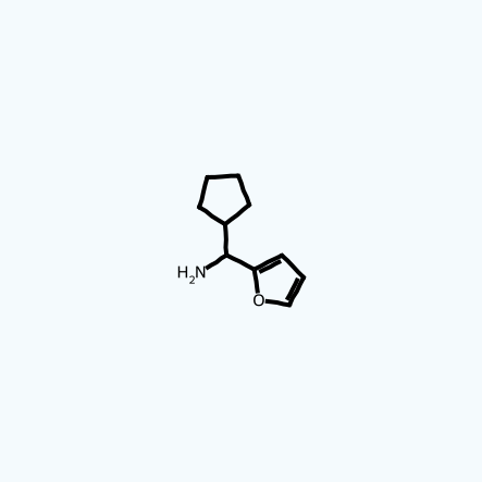 NC(c1ccco1)C1CCCC1